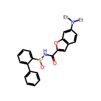 CCN(CC)c1ccc2cc(C(=O)N[S+]([O-])c3ccccc3-c3ccccc3)oc2c1